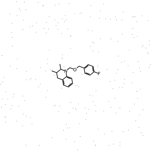 CC1Cc2ccccc2N(COCc2ccc(F)cc2)C1C